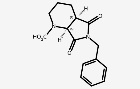 O=C1[C@@H]2[C@@H](CCCN2C(=O)O)C(=O)N1Cc1ccccc1